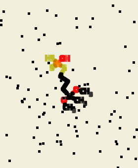 CO[Si](C)(CCCSP(O)(=S)S)OC